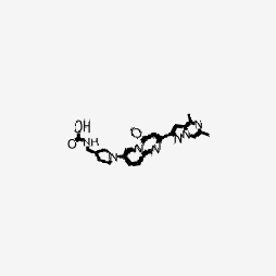 Cc1cn2nc(-c3cc(=O)n4cc(N5CCC(CNC(=O)O)C5)ccc4n3)cc2c(C)n1